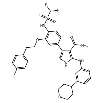 NC(=O)c1c(-c2ccc(NS(=O)(=O)C(F)F)c(OCCc3ccc(F)cc3)c2)n[nH]c1Nc1cc(C2CCOCC2)ccn1